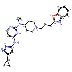 CN(c1nccc(Nc2cc(C3CC3)[nH]n2)n1)C1CCN(CCCc2nc3ccccc3o2)CC1